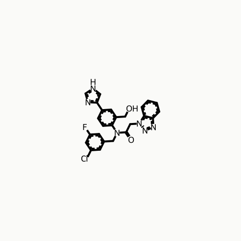 O=C(Cn1nnc2ccccc21)N(Cc1cc(F)cc(Cl)c1)c1ccc(-c2c[nH]cn2)cc1CO